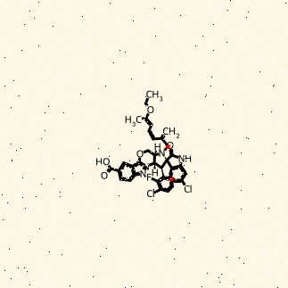 C=C(/C=C\C=C(/C)OCC)CN1[C@H]2COc3c4cc(C(=O)O)ccc4nn3[C@H]2[C@H](c2cccc(Cl)c2F)[C@]12C(=O)Nc1cc(Cl)ccc12